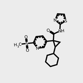 CS(=O)(=O)c1ccc(C2(C(=O)Nc3nccs3)CC2C2CCCCC2)cn1